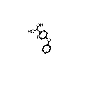 OB(O)c1ccc(Oc2ccccc2)cn1